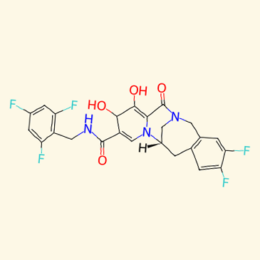 O=C(NCc1c(F)cc(F)cc1F)C1=CN2C(=C(O)C1O)C(=O)N1Cc3cc(F)c(F)cc3C[C@H]2C1